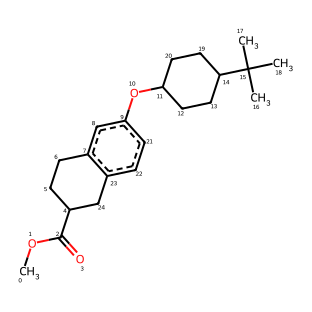 COC(=O)C1CCc2cc(OC3CCC(C(C)(C)C)CC3)ccc2C1